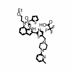 CCOCCN(c1cccc2cc(-c3ncc(CN4CCN(c5cccc(C)n5)CC4)s3)[nH]c12)S(=O)(=O)c1cccs1.O=C(O)C(F)(F)F